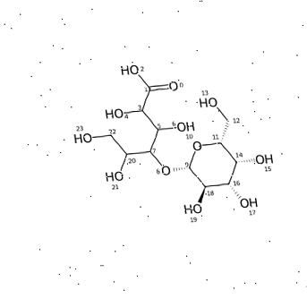 O=C(O)C(O)C(O)C(O[C@@H]1O[C@H](CO)[C@H](O)[C@H](O)[C@H]1O)C(O)CO